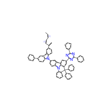 C=C(/C=C\C=C/C)c1ccc2c(c1)c1cc(-c3ccccc3)ccc1n2-c1ccc2c(c1)c1cc(-c3nc(-c4ccccc4)nc(-c4ccccc4)n3)cc3c1n2-c1ccccc1C3(c1ccccc1)c1ccccc1